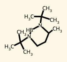 CC1CCN(C(C)(C)C)BN1C(C)(C)C